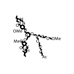 C/C=C1\C[C@H]2C=Nc3cc(OCc4cc(OCCN(CCOCCOCCOC)CCOCCOCCOCCC(C)=O)cc(COc5cc6c(cc5OC)C(=O)N5C/C(=C/C)C[C@H]5C=N6)n4)c(OC)cc3C(=O)N2C1